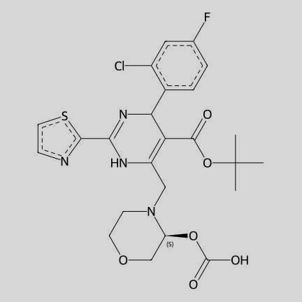 CC(C)(C)OC(=O)C1=C(CN2CCOC[C@@H]2OC(=O)O)NC(c2nccs2)=NC1c1ccc(F)cc1Cl